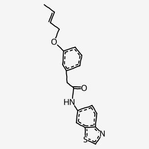 C/C=C/COc1cccc(CC(=O)Nc2ccc3ncsc3c2)c1